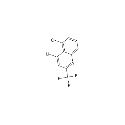 [Li][c]1cc(C(F)(F)F)nc2cccc(Cl)c12